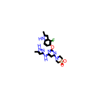 Cc1cc(Nc2cc(N3CCS(=O)(=O)CC3)nc(Oc3ccc4[nH]c(C)cc4c3F)n2)n[nH]1